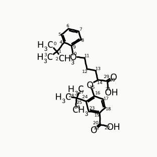 CC(C)(C)c1ccccc1OCCCC(Oc1ccc(C(=O)O)cc1C(C)(C)C)C(=O)O